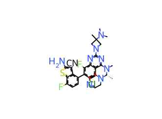 C[C@H](N1C=CN=CC1)N(C)c1nc(N2CC(C)(N(C)C)C2)nc2c(F)c(-c3ccc(F)c4sc(N)c(C#N)c34)c(Cl)cc12